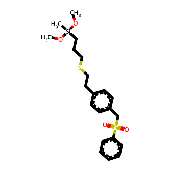 CO[Si](C)(CCCSCCc1ccc(CS(=O)(=O)c2ccccc2)cc1)OC